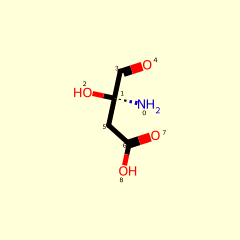 N[C@](O)(C=O)CC(=O)O